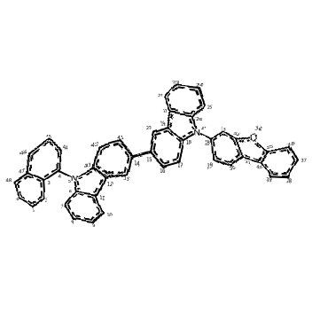 c1ccc2c(-n3c4ccccc4c4cc(-c5ccc6c(c5)c5ccccc5n6-c5ccc6c(c5)oc5ccccc56)ccc43)cccc2c1